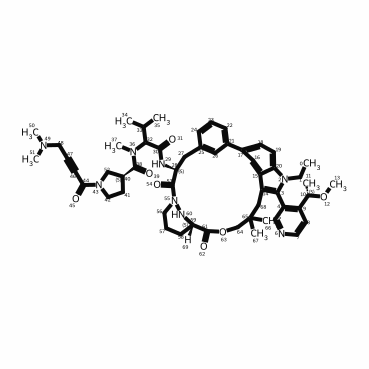 CCn1c(-c2cnccc2[C@H](C)OC)c2c3cc(ccc31)-c1cccc(c1)C[C@H](NC(=O)C(C(C)C)N(C)C(=O)[C@H]1CCN(C(=O)C#CCN(C)C)C1)C(=O)N1CCC[C@H](N1)C(=O)OCC(C)(C)C2